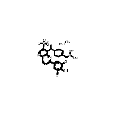 CN(C)CC1CCC(Nc2c(S(C)(=O)=O)cnc3ccc(-c4cc(F)c(O)c(Cl)c4)nc23)CC1.Cl.Cl